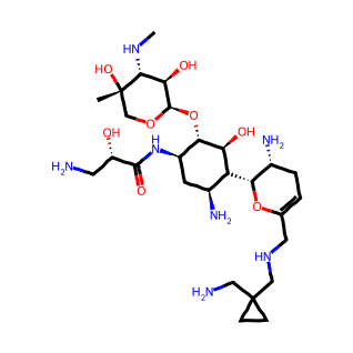 CN[C@@H]1[C@@H](O)[C@@H](O[C@H]2[C@H](NC(=O)[C@@H](O)CN)C[C@H](N)C([C@H]3OC(CNCC4(CN)CC4)=CC[C@H]3N)[C@@H]2O)OC[C@]1(C)O